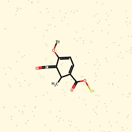 CCOC1=CC=C(C(=O)OS)C(C)C1=C=O